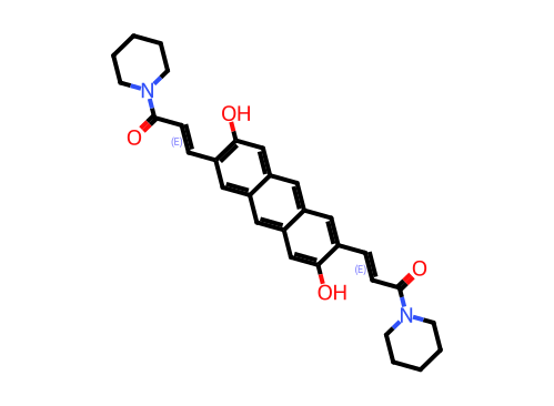 O=C(/C=C/c1cc2cc3cc(O)c(/C=C/C(=O)N4CCCCC4)cc3cc2cc1O)N1CCCCC1